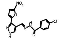 O=C(N/N=C/c1c[nH]nc1-c1ccc([N+](=O)[O-])o1)c1ccc(Cl)cc1